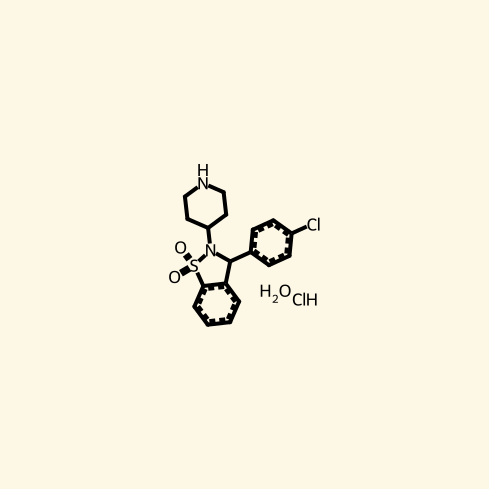 Cl.O.O=S1(=O)c2ccccc2C(c2ccc(Cl)cc2)N1C1CCNCC1